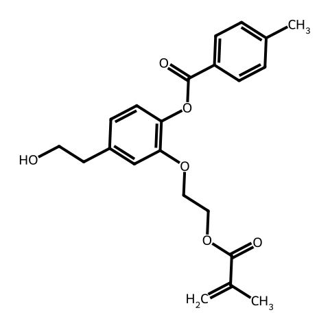 C=C(C)C(=O)OCCOc1cc(CCO)ccc1OC(=O)c1ccc(C)cc1